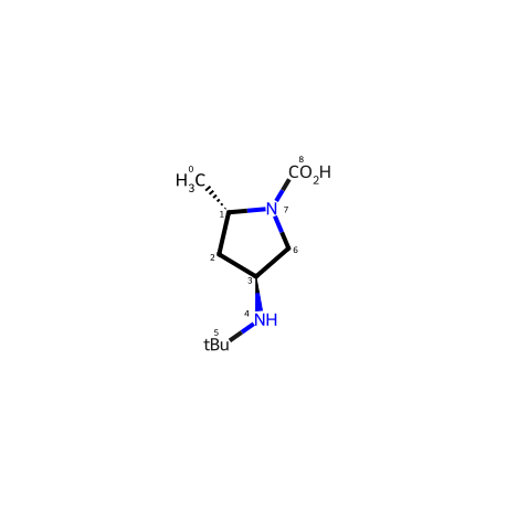 C[C@H]1C[C@H](NC(C)(C)C)CN1C(=O)O